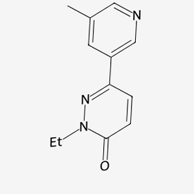 CCn1nc(-c2cncc(C)c2)ccc1=O